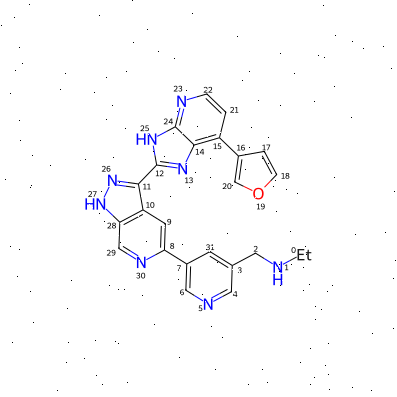 CCNCc1cncc(-c2cc3c(-c4nc5c(-c6ccoc6)ccnc5[nH]4)n[nH]c3cn2)c1